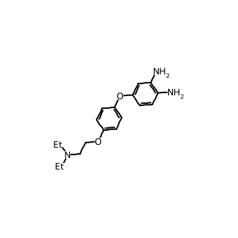 CCN(CC)CCOc1ccc(Oc2ccc(N)c(N)c2)cc1